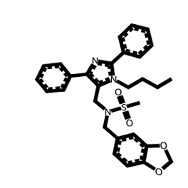 CCCCn1c(-c2ccccc2)nc(-c2ccccc2)c1CN(Cc1ccc2c(c1)OCO2)S(C)(=O)=O